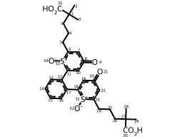 CC(C)(CCCc1cc(=O)cc(-c2ccccc2-c2cc(=O)cc(CCCC(C)(C)C(=O)O)[s+]2[O-])[s+]1[O-])C(=O)O